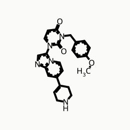 COc1ccc(Cn2c(=O)ccn(-c3cnc4cc(C5=CCNCC5)ccn34)c2=O)cc1